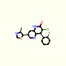 Cc1ncsc1-c1cnc2c(-c3ccccc3F)c(Cl)c(=O)[nH]c2c1